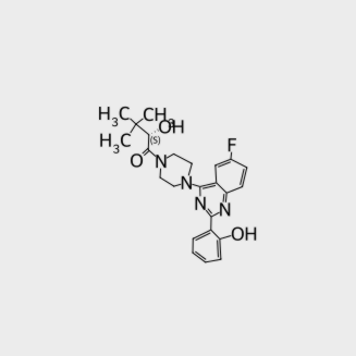 CC(C)(C)[C@H](O)C(=O)N1CCN(c2nc(-c3ccccc3O)nc3ccc(F)cc23)CC1